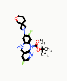 CC(C)(C)OC(=O)N1c2cc(F)c(N3CC4(CCCOC4)C3)cc2NCc2cc(F)cnc21